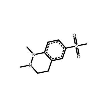 CN1CCc2cc(S(C)(=O)=O)ccc2N1C